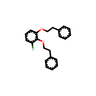 Clc1cccc(OCCc2ccccc2)c1OCCc1ccccc1